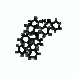 Bc1ccccc1-c1ccc(N(c2ccc3c(c2)C(c2ccccc2)(c2ccccc2)c2ccccc2-3)c2cccc3ccccc23)cc1